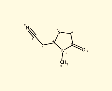 CN1C(=O)CSC1CC#N